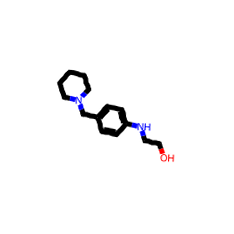 OCCNc1ccc(CN2CCCCC2)cc1